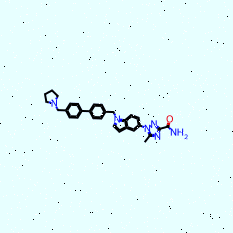 Cc1nc(C(N)=O)nn1-c1ccc2c(ccn2Cc2ccc(-c3ccc(CN4CCCC4)cc3)cc2)c1